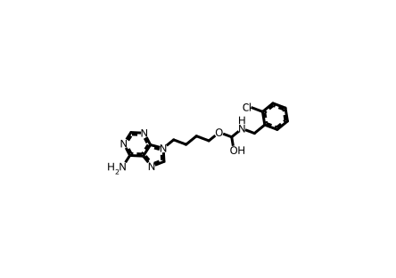 Nc1ncnc2c1ncn2CCCCOC(O)NCc1ccccc1Cl